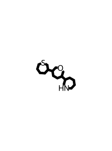 C1CCC(C2CCC(C3CCCCSC3)COC2)CNC1